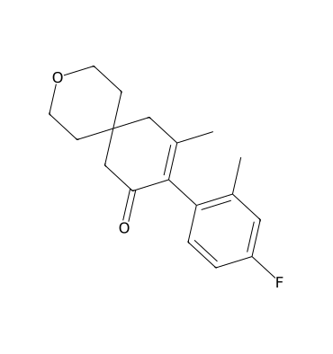 CC1=C(c2ccc(F)cc2C)C(=O)CC2(CCOCC2)C1